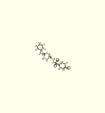 O=S(=O)(CCN1CCN(Cc2ccccc2)CC1)c1ccc(Cl)cc1